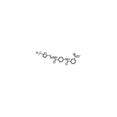 Cc1ccc(/C=N/NC(=O)c2ccc(NC(=O)c3cccc([N+](=O)[O-])c3)cc2)o1